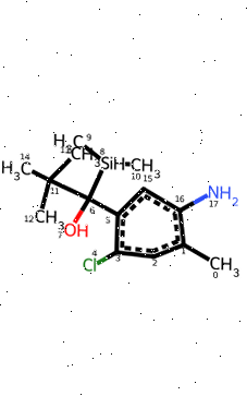 Cc1cc(Cl)c(C(O)([SiH](C)C)C(C)(C)C)cc1N